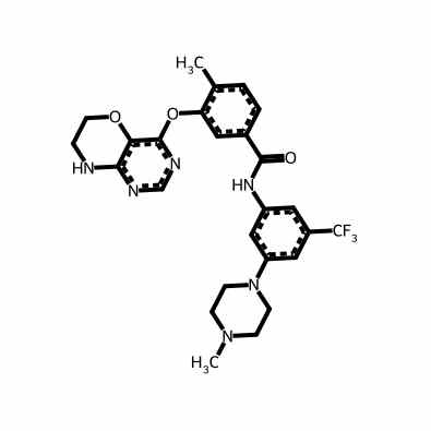 Cc1ccc(C(=O)Nc2cc(N3CCN(C)CC3)cc(C(F)(F)F)c2)cc1Oc1ncnc2c1OCCN2